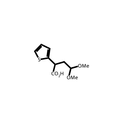 COC(CC(C(=O)O)c1cccs1)OC